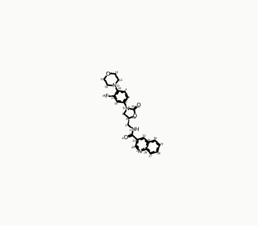 O=C(NC[C@H]1CN(c2ccc(N3CCOCC3)c(F)c2)C(=O)O1)c1cnc2ccccc2c1